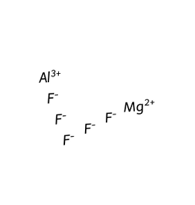 [Al+3].[F-].[F-].[F-].[F-].[F-].[Mg+2]